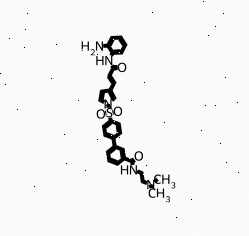 CN(C)CCNC(=O)c1cccc(-c2ccc(S(=O)(=O)n3ccc(/C=C/C(=O)Nc4ccccc4N)c3)cc2)c1